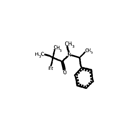 CCC(C)(C)C(=O)N(C)C(C)c1ccccc1